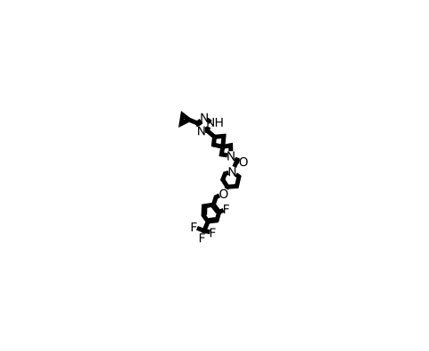 O=C(N1CCC(OCc2ccc(C(F)(F)F)cc2F)CC1)N1CC2(CC(c3nc(C4CC4)n[nH]3)C2)C1